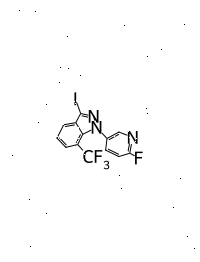 Fc1ccc(-n2nc(I)c3cccc(C(F)(F)F)c32)cn1